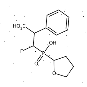 O=C(O)C(c1ccccc1)C(F)P(=O)(O)C1CCCO1